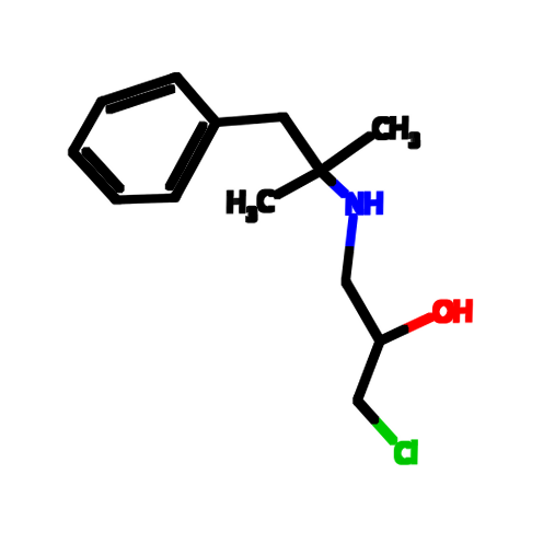 CC(C)(Cc1ccccc1)NCC(O)CCl